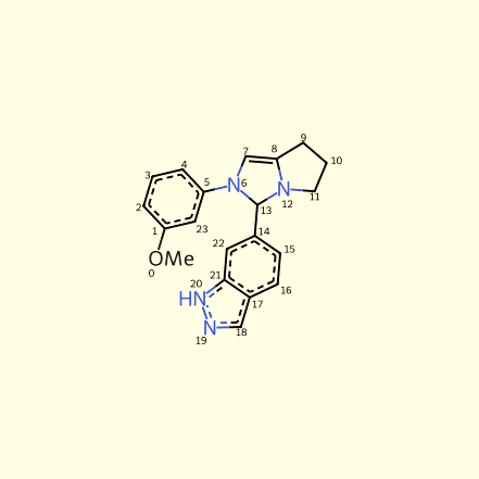 COc1cccc(N2C=C3CCCN3C2c2ccc3cn[nH]c3c2)c1